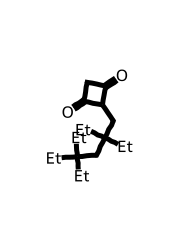 CCC(CC)(CC)CC(CC)(CC)CC1C(=O)CC1=O